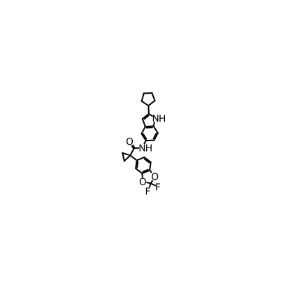 O=C(Nc1ccc2[nH]c(C3CCCC3)cc2c1)C1(c2ccc3c(c2)OC(F)(F)O3)CC1